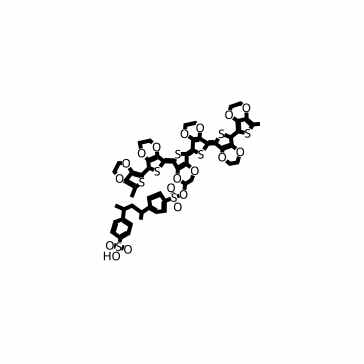 Cc1sc(C2S/C(=c3/s/c(=c4/s/c(=C5/SC(c6sc(C)c7c6OCCO7)C6=C5OCCO6)c5c4OCC(OS(=O)(=O)c4ccc(C(C)CC(C)c6ccc(S(=O)(=O)O)cc6)cc4)O5)c4c3OCCO4)C3=C2OCCO3)c2c1OCCO2